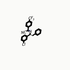 N#C/C(=N\[C@H](Cc1ccccc1)c1cccc(Cl)c1)c1ccc(C(F)(F)F)cc1